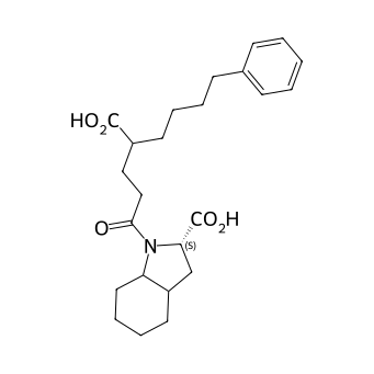 O=C(O)C(CCCCc1ccccc1)CCC(=O)N1C2CCCCC2C[C@H]1C(=O)O